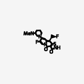 CNC1CCCN(c2cc3c([C@H]4C[C@@H]4F)c4s[nH]c(=O)c4c(=O)n3cc2F)C1